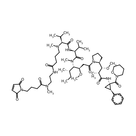 CC[C@H](C)[C@@H]([C@@H](CC(=O)N1CCC[C@H]1[C@H](OC)[C@@H](C)C(=O)N[C@@]1(C(=O)N2CCCCO2)C[C@@H]1c1ccccc1)OC)N(C)C(=O)[C@@H](NC(=O)[C@H](C(C)C)N(C)CCCC(=O)NCCN(C)C(=O)CCCN1C(=O)C=CC1=O)C(C)C